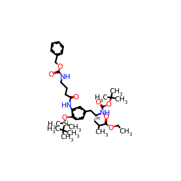 CCOC(=O)C(C)C[C@H](Cc1ccc(O[Si](C)(C)C(C)(C)C)c(NC(=O)CCCNC(=O)OCc2ccccc2)c1)NC(=O)OC(C)(C)C